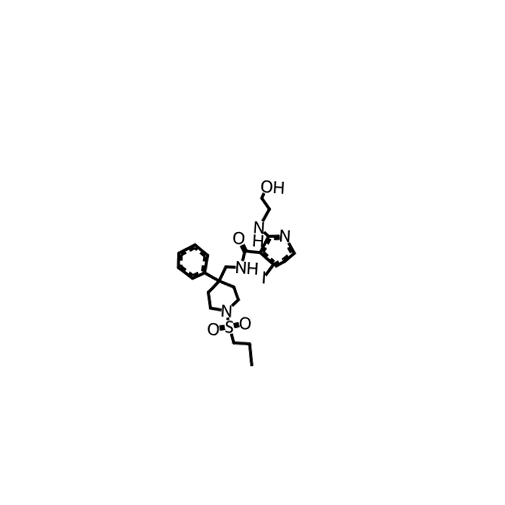 CCCS(=O)(=O)N1CCC(CNC(=O)c2c(I)ccnc2NCCO)(c2ccccc2)CC1